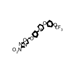 O=[N+]([O-])c1cn2c(n1)O[C@@H](COc1ccc(N3CCC(Oc4ccc(OC(F)(F)F)cc4)CC3)cc1)C2